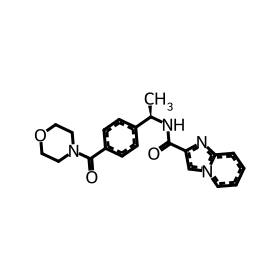 C[C@@H](NC(=O)c1cn2ccccc2n1)c1ccc(C(=O)N2CCOCC2)cc1